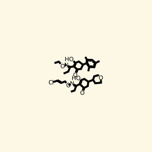 CC/C(=N\OC/C=C/Cl)C1=C(O)CC(C2CCOCC2)CC1=O.CCO/N=C(\CC)C1=C(O)CC(c2c(C)cc(C)cc2C)CC1=O